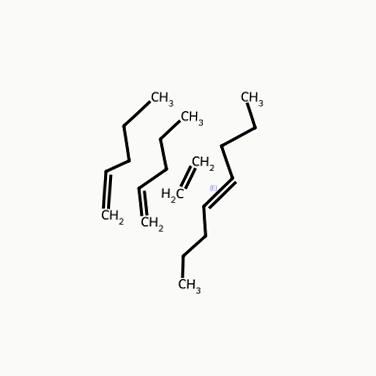 C=C.C=CCCC.C=CCCC.CCC/C=C/CCC